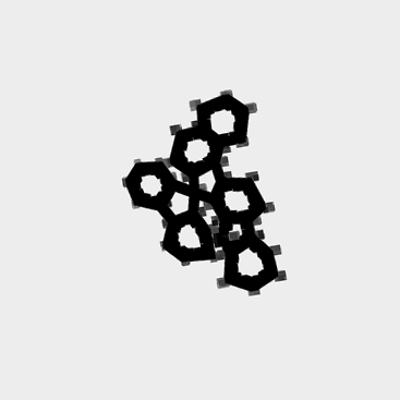 c1ccc2c(c1)-c1ccccc1C21c2ccc3ccccc3c2-c2ccc3c([nH]c4ccccc43)c21